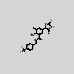 Cc1cc(C2SC(=O)NC2=O)cc(C(=O)NCc2ccc(C(F)(F)F)cc2)c1O